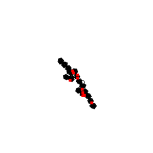 CC1(C)c2cc(-c3ccc(-c4ccccc4)cc3)ccc2-c2ccc(N(c3ccc4oc5cc(-c6ccc(-c7ccccc7)c(N(c7ccc8c(c7)C(C)(C)c7cc(-c9ccc(-c%10ccccc%10)cc9)ccc7-8)c7cccc8c7oc7ccccc78)c6)ccc5c4c3)c3ccccc3-c3ccccc3)cc21